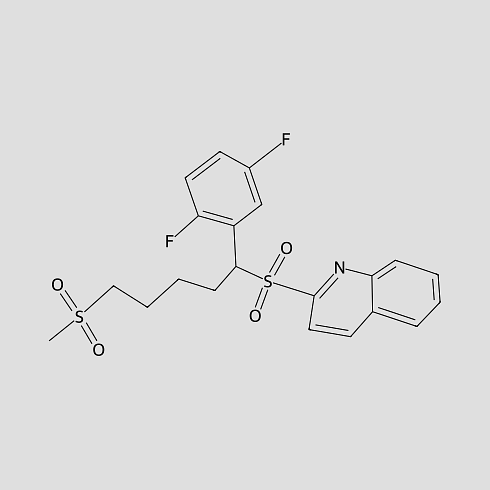 CS(=O)(=O)CCCCC(c1cc(F)ccc1F)S(=O)(=O)c1ccc2ccccc2n1